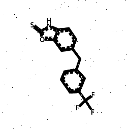 FC(F)(F)c1cccc(Cc2ccc3[nH]c(=S)oc3c2)c1